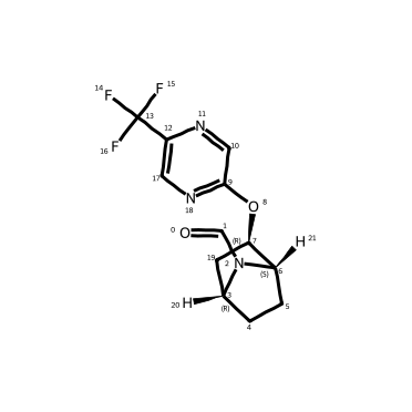 O=CN1[C@@H]2CC[C@H]1[C@H](Oc1cnc(C(F)(F)F)cn1)C2